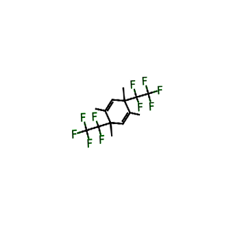 CC1=CC(C)(C(F)(F)C(F)(F)F)C(C)=CC1(C)C(F)(F)C(F)(F)F